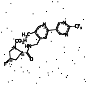 Cc1cnc(-c2cnc(C(F)(F)F)nc2)cc1CNC(=O)[C@@H]1C[C@@H](F)CN1C(=O)O